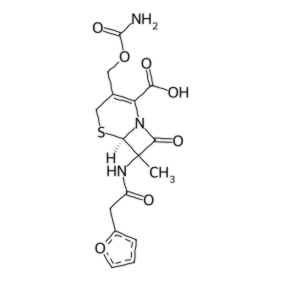 CC1(NC(=O)Cc2ccco2)C(=O)N2C(C(=O)O)=C(COC(N)=O)CS[C@@H]21